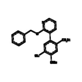 CCOC(=O)c1cc(OC)c(C(C)(C)C)cc1-c1cccnc1OCc1ccccc1